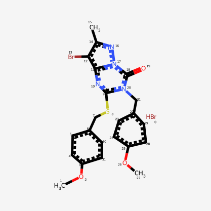 Br.COc1ccc(CSc2nc3c(Br)c(C)nn3c(=O)n2Cc2ccc(OC)cc2)cc1